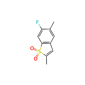 CC1=Cc2cc(C)c(F)cc2S1(=O)=O